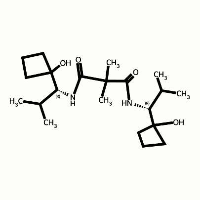 CC(C)[C@@H](NC(=O)C(C)(C)C(=O)N[C@H](C(C)C)C1(O)CCC1)C1(O)CCC1